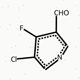 O=Cc1cncc(Cl)c1F